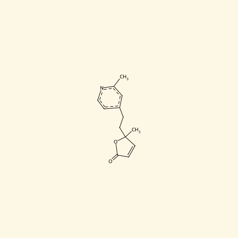 Cc1cc(CCC2(C)C=CC(=O)O2)ccn1